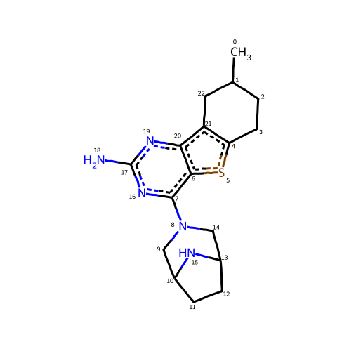 CC1CCc2sc3c(N4CC5CCC(C4)N5)nc(N)nc3c2C1